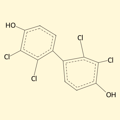 Oc1ccc(-c2ccc(O)c(Cl)c2Cl)c(Cl)c1Cl